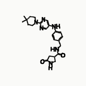 CC1(C)CCN(c2ncc(Nc3ccc(CNC(=O)C4CNC(=O)C4)cc3)cn2)CC1